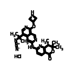 C[C@@H]1c2nc(Nc3cc4c(C(C)(C)N=[N+]=[N-])cnc(OC5CNC5)c4cn3)ccc2C(=O)OC1(C)C.Cl